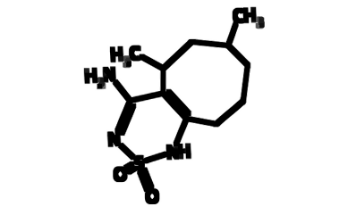 CC1CCCC2=C(C(N)=NS(=O)(=O)N2)C(C)C1